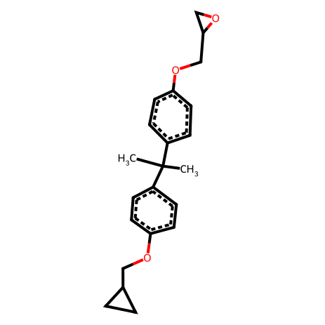 CC(C)(c1ccc(OCC2CC2)cc1)c1ccc(OCC2CO2)cc1